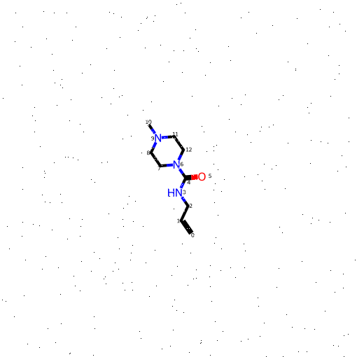 C=CCNC(=O)N1CCN(C)CC1